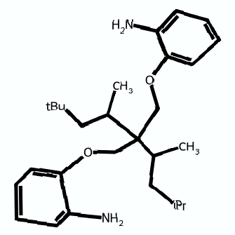 CC(C)CC(C)C(COc1ccccc1N)(COc1ccccc1N)C(C)CC(C)(C)C